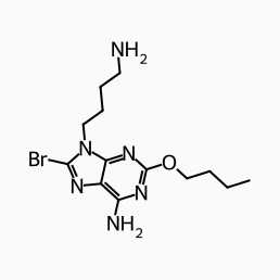 CCCCOc1nc(N)c2nc(Br)n(CCCCN)c2n1